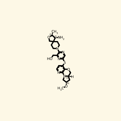 CO[C@@H]1C[C@H]2COc3c(Sc4cnc(N5CCC6(CC5)CO[C@@H](C)[C@H]6N)c(CO)n4)ccnc3N2C1